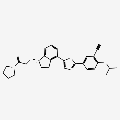 CC(C)Oc1ccc(-c2ncc(-c3cccc4c3CC[C@H]4NCC(=O)N3CCCC3)s2)cc1C#N